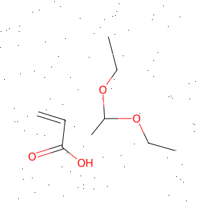 C=CC(=O)O.CCOC(C)OCC